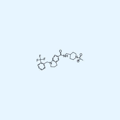 CS(=O)(=O)N1CCC(CNC(=O)c2ccc3c(c2)CCCN3Cc2ccccc2C(F)(F)F)CC1